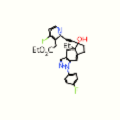 CCOC(=O)Cc1c(F)ccnc1C#C[C@]1(O)CCC2=Cc3c(cnn3-c3ccc(F)cc3)C[C@@]21CC